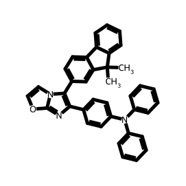 CC1(C)c2ccccc2-c2ccc(-c3c(-c4ccc(N(c5ccccc5)c5ccccc5)cc4)nc4occn34)cc21